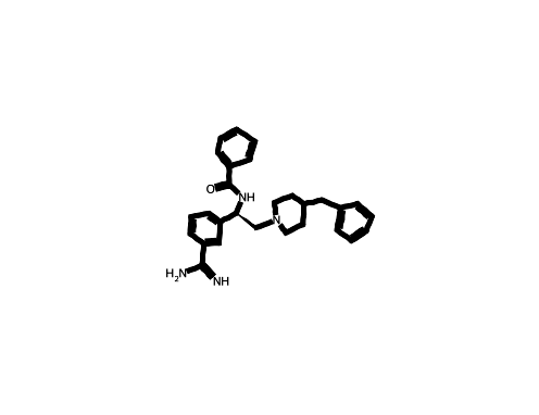 N=C(N)c1cccc([C@H](CN2CCC(Cc3ccccc3)CC2)NC(=O)c2ccccc2)c1